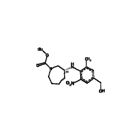 Cc1cc(CO)cc([N+](=O)[O-])c1N[C@@H]1CCCCN(C(=O)OC(C)(C)C)C1